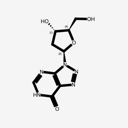 O=c1[nH]cnc2c1nnn2[C@H]1C[C@H](O)[C@@H](CO)O1